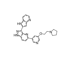 c1cnc2cc(-c3n[nH]c4ccc(-c5cncc(OCCN6CCCC6)c5)nc34)[nH]c2c1